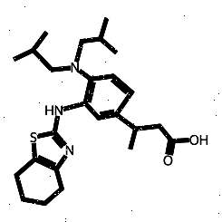 CC(C)CN(CC(C)C)c1ccc(C(C)CC(=O)O)cc1Nc1nc2c(s1)CCCC2